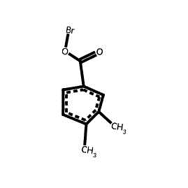 Cc1ccc(C(=O)OBr)cc1C